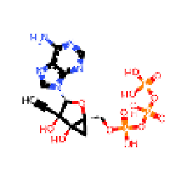 C#C[C@]1(O)[C@H](n2cnc3c(N)ncnc32)O[C@@]2(COP(=O)(O)OP(=O)(O)OP(=O)(O)O)C[C@@]21O